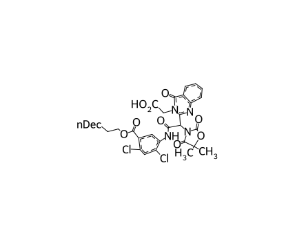 CCCCCCCCCCCCOC(=O)c1cc(NC(=O)C(c2nc3ccccc3c(=O)n2CC(=O)O)N2C(=O)OC(C)(C)C2=O)c(Cl)cc1Cl